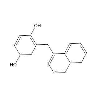 Oc1ccc(O)c(Cc2cccc3ccccc23)c1